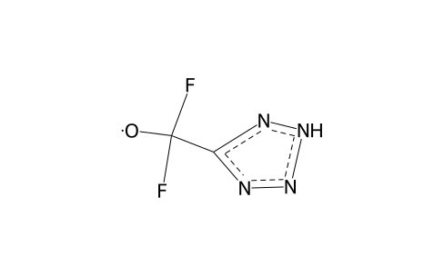 [O]C(F)(F)c1nn[nH]n1